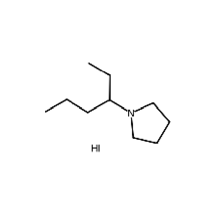 CCCC(CC)N1CCCC1.I